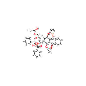 CC(=O)OC[C@]1(OB(O)c2ccccc2)Cc2c(OC(C)=O)c3c(c(OC(C)=O)c2[C@@H](OB(O)c2ccccc2)C1)C(=O)c1ccccc1C3=O